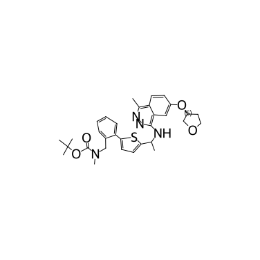 Cc1nnc(NC(C)c2ccc(-c3ccccc3CN(C)C(=O)OC(C)(C)C)s2)c2cc(O[C@H]3CCOC3)ccc12